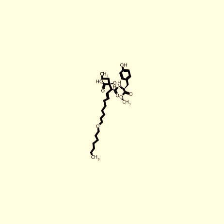 CCCCCCCOCCCCCC/C=C/[C@H](C(=O)N[C@@H](Cc1ccc(O)cc1)C(=O)OC)[C@@](O)(CCC)C(=O)O